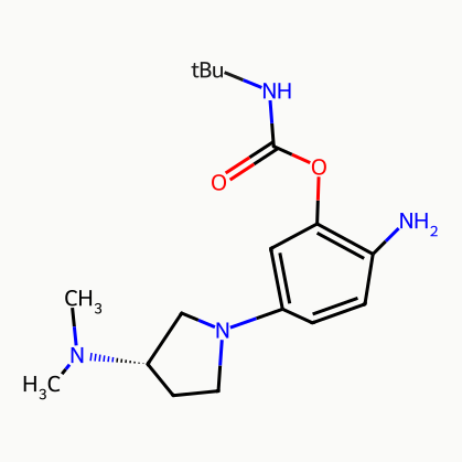 CN(C)[C@H]1CCN(c2ccc(N)c(OC(=O)NC(C)(C)C)c2)C1